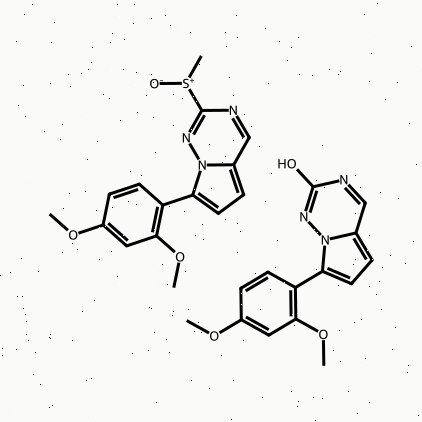 COc1ccc(-c2ccc3cnc(O)nn23)c(OC)c1.COc1ccc(-c2ccc3cnc([S+](C)[O-])nn23)c(OC)c1